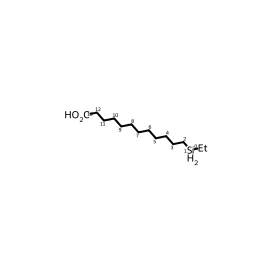 CC[SiH2]CCCCCCCCCCCC(=O)O